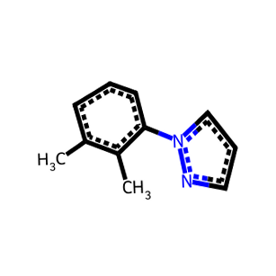 Cc1cccc(-n2cccn2)c1C